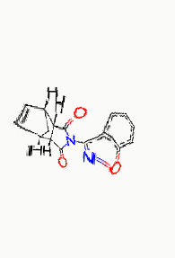 O=C1[C@@H]2[C@H](C(=O)N1c1noc3ccccc13)[C@@H]1C=C[C@H]2C1